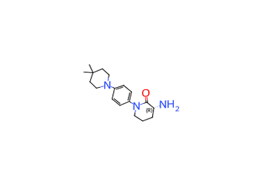 CC1(C)CCN(c2ccc(N3CCC[C@@H](N)C3=O)cc2)CC1